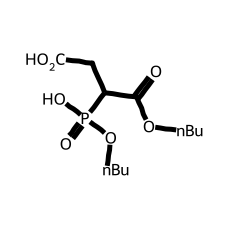 CCCCOC(=O)C(CC(=O)O)P(=O)(O)OCCCC